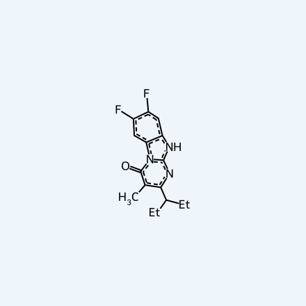 CCC(CC)c1nc2[nH]c3cc(F)c(F)cc3n2c(=O)c1C